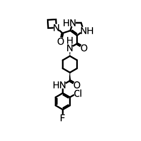 O=C(N[C@H]1CC[C@H](C(=O)Nc2ccc(F)cc2Cl)CC1)C1=C(C(=O)N2CCC2)NCN1